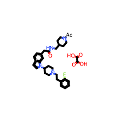 CC(=O)N1CCC(CNC(=O)Cc2ccc3ccn(C4CCN(CCc5ccccc5F)CC4)c3c2)CC1.O=C(O)C(=O)O